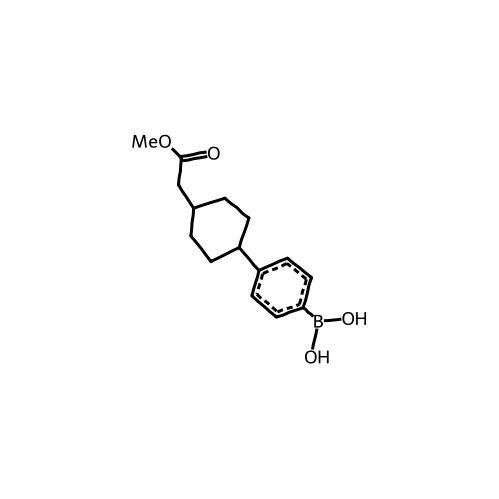 COC(=O)CC1CCC(c2ccc(B(O)O)cc2)CC1